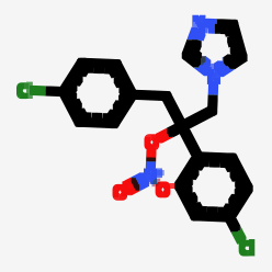 O=[N+]([O-])OC(Cc1ccc(Cl)cc1)(Cn1ccnc1)c1ccc(Cl)cc1